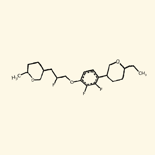 CCC1CCC(c2ccc(OCC(F)CC3CCC(C)OC3)c(F)c2F)CO1